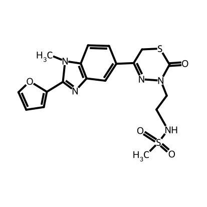 Cn1c(-c2ccco2)nc2cc(C3=NN(CCNS(C)(=O)=O)C(=O)SC3)ccc21